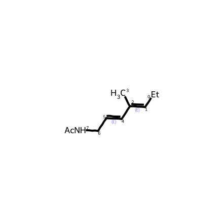 CC/C=C(C)/C=C/CNC(C)=O